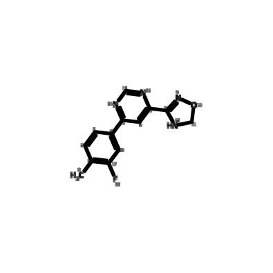 Cc1ccc(-c2cc(C3=NOCN3)ncn2)cc1F